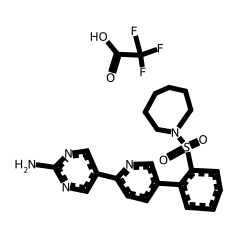 Nc1ncc(-c2ccc(-c3ccccc3S(=O)(=O)N3CCCCCC3)cn2)cn1.O=C(O)C(F)(F)F